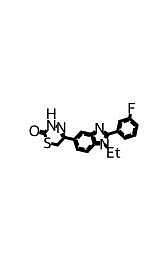 CCn1c(-c2cccc(F)c2)nc2cc(C3=NNC(=O)SC3)ccc21